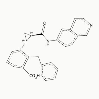 O=C(O)c1cccc([C@@H]2C[C@H]2C(=O)Nc2ccc3cnccc3c2)c1Cc1ccccc1